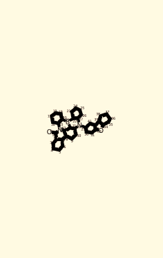 O=c1c2ccccc2c2ccc3c4c2n1-c1ccccc1B4c1ccccc1N3c1ccc2oc3ccccc3c2c1